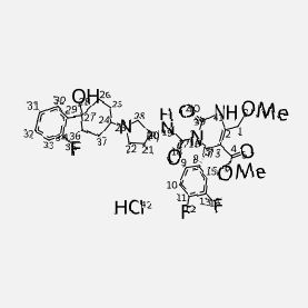 COCC1=C(C(=O)OC)[C@H](c2ccc(F)c(F)c2)N(C(=O)N[C@@H]2CCN(C3CCC(O)(c4ccccc4F)CC3)C2)C(=O)N1.Cl